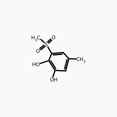 Cc1cc(O)c(O)c(S(C)(=O)=O)c1